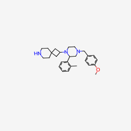 COc1ccc(CN2CCN(C3CC4(CCNCC4)C3)C(c3ccccc3C)C2)cc1